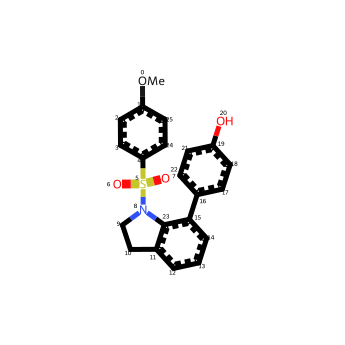 COc1ccc(S(=O)(=O)N2CCc3cccc(-c4ccc(O)cc4)c32)cc1